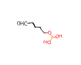 O=CCCCCOP(O)O